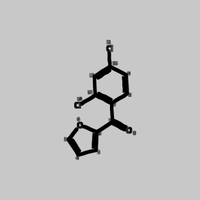 O=C(c1ccco1)c1ccc(Cl)cc1Cl